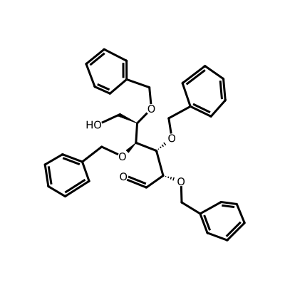 O=C[C@@H](OCc1ccccc1)[C@@H](OCc1ccccc1)[C@@H](OCc1ccccc1)[C@@H](CO)OCc1ccccc1